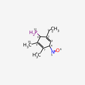 CCC1=CC(N=O)C(C)=C(C)C1P